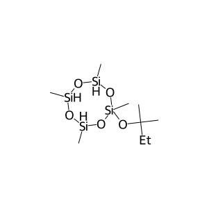 CCC(C)(C)O[Si]1(C)O[SiH](C)O[SiH](C)O[SiH](C)O1